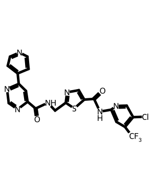 O=C(NCc1ncc(C(=O)Nc2cc(C(F)(F)F)c(Cl)cn2)s1)c1cc(-c2ccncc2)ncn1